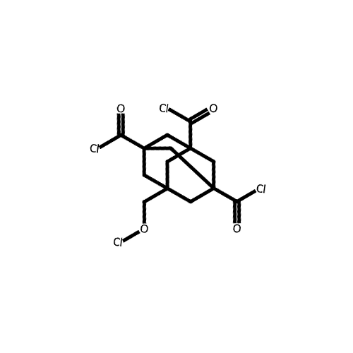 O=C(Cl)C12CC3(COCl)CC(C(=O)Cl)(C1)CC(C(=O)Cl)(C3)C2